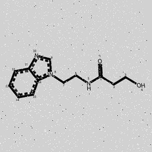 O=C(CCO)NCCn1cnc2ccccc21